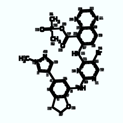 Cn1cc(-c2cc3c(c(Nc4ncc(Br)c(Nc5ccc6nccnc6c5C(=O)OP(C)(C)=O)n4)c2)OCC3)cn1